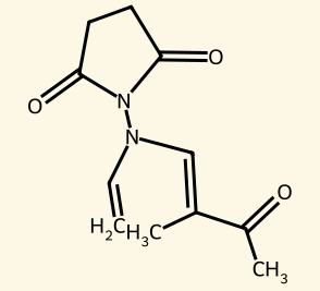 C=CN(/C=C(\C)C(C)=O)N1C(=O)CCC1=O